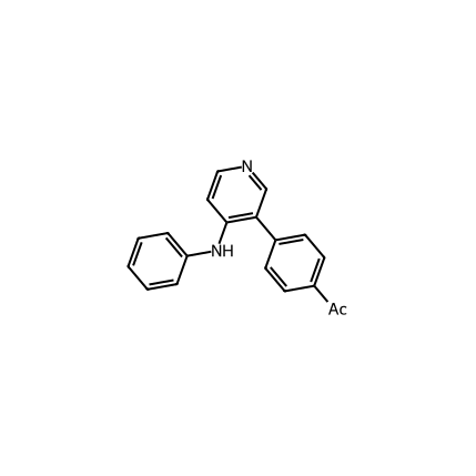 CC(=O)c1ccc(-c2cnccc2Nc2ccccc2)cc1